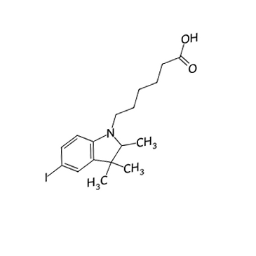 CC1N(CCCCCC(=O)O)c2ccc(I)cc2C1(C)C